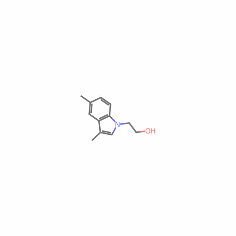 Cc1[c]cc2c(c1)c(C)cn2CCO